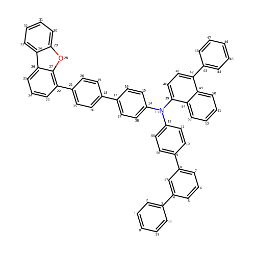 c1ccc(-c2cccc(-c3ccc(N(c4ccc(-c5ccc(-c6cccc7c6oc6ccccc67)cc5)cc4)c4ccc(-c5ccccc5)c5ccccc45)cc3)c2)cc1